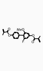 C=C(C)C(=O)Oc1ccc(-c2c(F)cc(OC(=O)C(=C)C)cc2OC)cc1